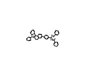 C/C(=N\C(=N/Cc1ccccc1)c1ccc(-c2ccc3c(c2)CCC2=C3C3C=CC=CC3N2c2ccccc2)cc1)C1=CCCC=C1